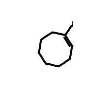 IC1=CCCCCCC1